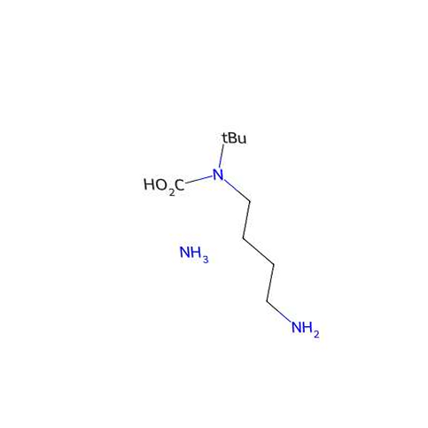 CC(C)(C)N(CCCCN)C(=O)O.N